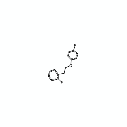 Fc1ccc(OCCc2ccccc2F)cc1